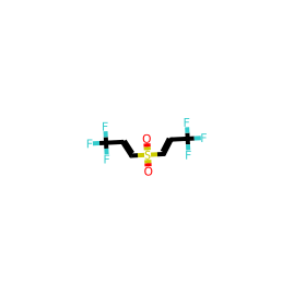 O=S(=O)(C=CC(F)(F)F)C=CC(F)(F)F